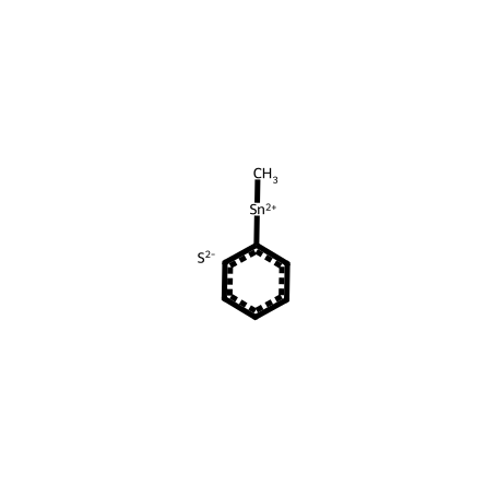 [CH3][Sn+2][c]1ccccc1.[S-2]